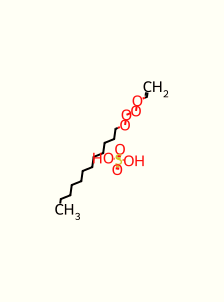 C=COOOOCCCCCCCCCCCC.O=S(=O)(O)O